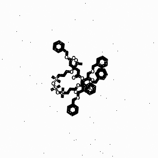 CC(=O)C(CC(=O)OCc1ccccc1)(CC(=O)OCc1ccccc1)OCCC[Si](C)(C)O[Si](C)(C)O[Si](C)(C)CCCOC(CC(=O)COCc1ccccc1)(CC(=O)OCc1ccccc1)C(=O)OCc1ccccc1